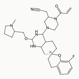 C=CC(=O)N1CCN(C2NC(OCC3CCCN3C)NC3C[C@]4(CCc5cccc(F)c5O4)CCC32)CC1CC#N